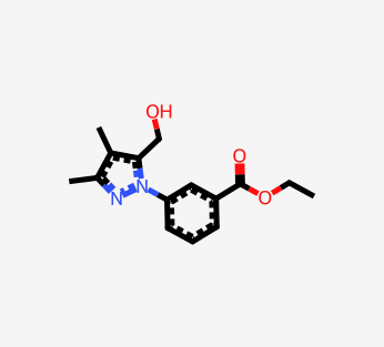 CCOC(=O)c1cccc(-n2nc(C)c(C)c2CO)c1